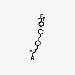 N#CC(F)=CC=CC1CCC(CCC2CCC(c3ccc(C(F)(F)F)cc3)CC2)CC1